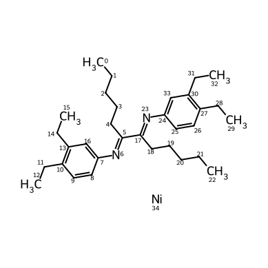 CCCCCC(=Nc1ccc(CC)c(CC)c1)C(CCCCC)=Nc1ccc(CC)c(CC)c1.[Ni]